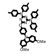 COc1ccc2c(c1)c1cc(OC)ccc1n2-c1ccc(Oc2nc(N(c3ccc(C)cc3)c3ccc(C)cc3)nc(N(c3ccc(C)cc3)c3ccc(C)cc3)n2)cc1